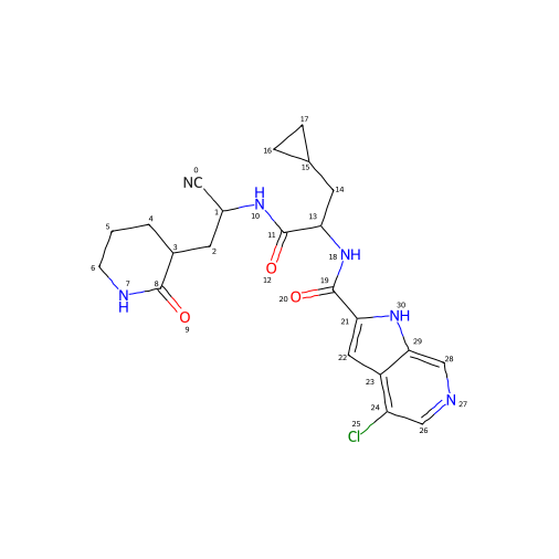 N#CC(CC1CCCNC1=O)NC(=O)C(CC1CC1)NC(=O)c1cc2c(Cl)cncc2[nH]1